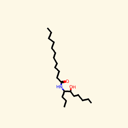 CCCCCCCCCCCC(=O)NC(CCC)C(O)CCCCC